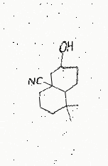 CC1(C)CCCC2(C#N)CC(O)CCC12